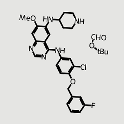 CC(C)(C)OC=O.COc1cc2ncnc(Nc3ccc(OCc4cccc(F)c4)c(Cl)c3)c2cc1NC1CCNCC1